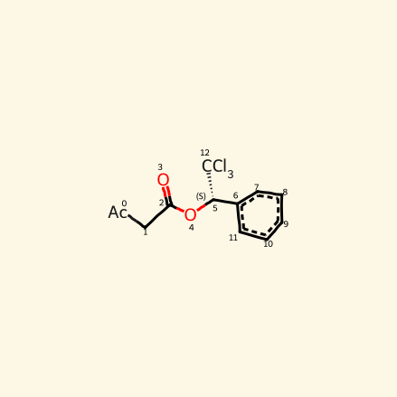 CC(=O)CC(=O)O[C@@H](c1ccccc1)C(Cl)(Cl)Cl